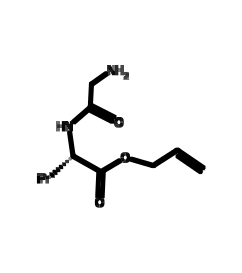 C=CCOC(=O)[C@@H](NC(=O)CN)C(C)C